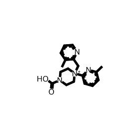 Cc1cccc([N+]2(Cc3ncccc3C)CCN(C(=O)O)CC2)n1